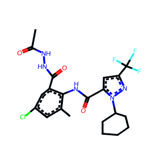 CC(=O)NNC(=O)c1cc(Cl)cc(C)c1NC(=O)c1cc(C(F)(F)F)nn1C1CCCCC1